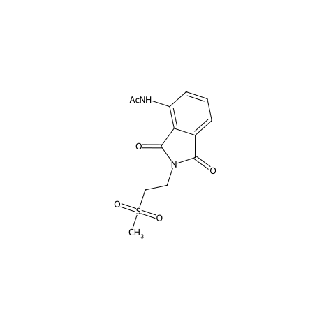 CC(=O)Nc1cccc2c1C(=O)N(CCS(C)(=O)=O)C2=O